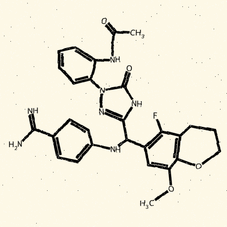 COc1cc(C(Nc2ccc(C(=N)N)cc2)c2nn(-c3ccccc3NC(C)=O)c(=O)[nH]2)c(F)c2c1OCCC2